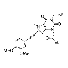 C#CCn1c(=O)c2c(nc(C#Cc3ccc(OC)c(OC)c3)n2C)n(CC(=O)CC)c1=O